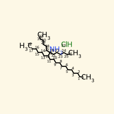 CCCCCCCCCCCCC(CCCCCC)C(N)(CCCCCC)CCCCCC.Cl